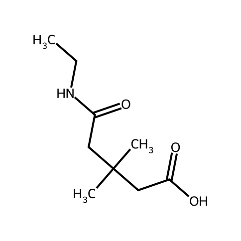 CCNC(=O)CC(C)(C)CC(=O)O